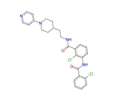 O=C(Nc1cccc(C(=O)NCCC2CCN(c3ccncc3)CC2)c1Cl)c1ccccc1Cl